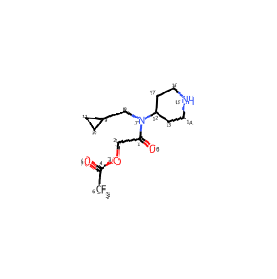 O=C(COC(=O)C(F)(F)F)N(CC1CC1)C1CCNCC1